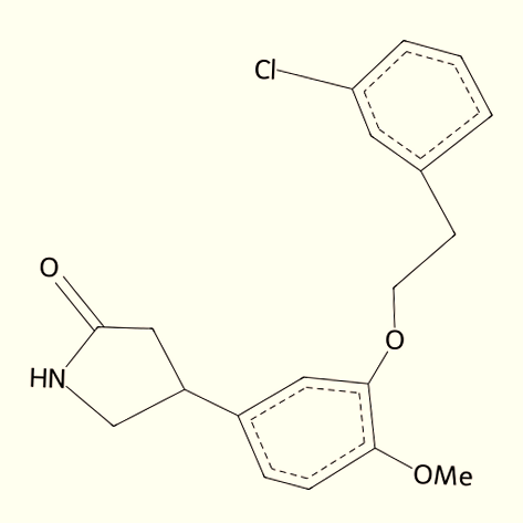 COc1ccc(C2CNC(=O)C2)cc1OCCc1cccc(Cl)c1